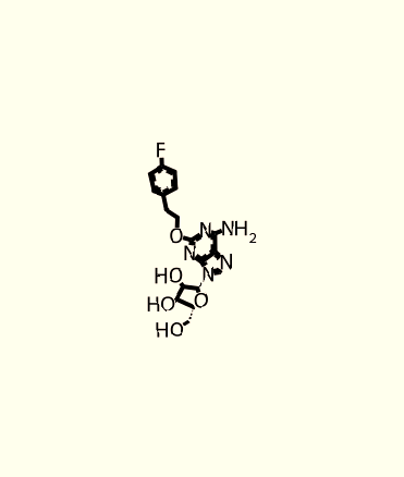 Nc1nc(OCCc2ccc(F)cc2)nc2c1ncn2[C@@H]1O[C@H](CO)C(O)C1O